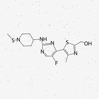 CSN1CCC(Nc2ncc(F)c(-c3sc(CO)nc3C)n2)CC1